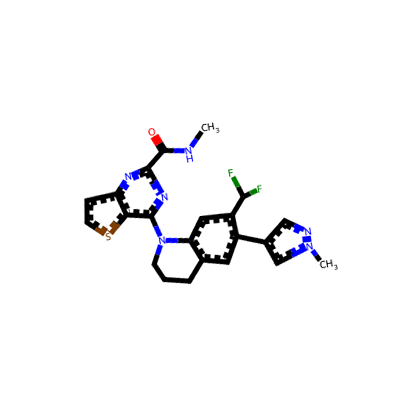 CNC(=O)c1nc(N2CCCc3cc(-c4cnn(C)c4)c(C(F)F)cc32)c2sccc2n1